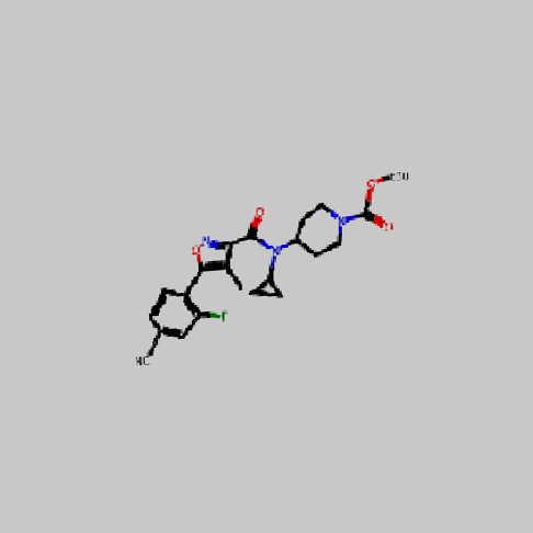 Cc1c(C(=O)N(C2CC2)C2CCN(C(=O)OC(C)(C)C)CC2)noc1-c1ccc(C#N)cc1F